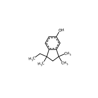 CCC1(C)CC(C)(C)c2cc(O)ccc21